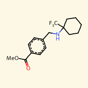 COC(=O)c1ccc(CNC2(C(F)(F)F)CCCCC2)cc1